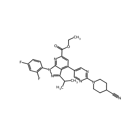 CCOC(=O)c1cc(-c2cnc(N3CCC(C#N)CC3)nc2)c2c(C(C)C)nn(-c3ccc(F)cc3F)c2n1